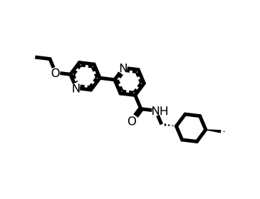 [CH2][C@H]1CC[C@H](CNC(=O)c2ccnc(-c3ccc(OCC)nc3)c2)CC1